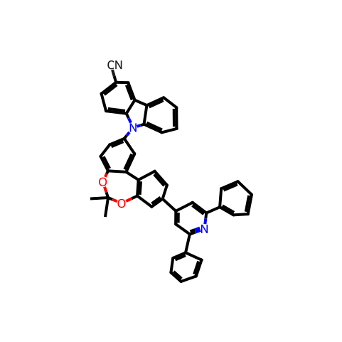 CC1(C)Oc2cc(-c3cc(-c4ccccc4)nc(-c4ccccc4)c3)ccc2-c2cc(-n3c4ccccc4c4cc(C#N)ccc43)ccc2O1